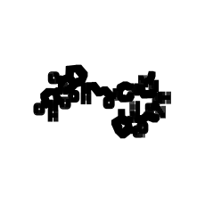 Cc1nc(Nc2ncc(C(=O)Nc3c(C)cccc3Cl)s2)cc(N2CCN(C(=O)CCCNc3cccc4c3C(=O)N(C3CCC(=O)NC3=O)C4=O)CC2)n1